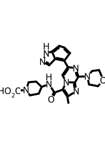 Cc1nc2c(N3CCOCC3)nc(-c3cccc4[nH]ncc34)cn2c1C(=O)NC1CCN(C(=O)O)CC1